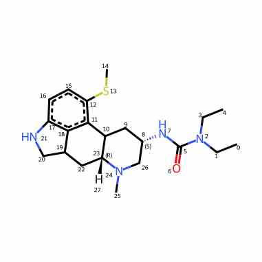 CCN(CC)C(=O)N[C@H]1CC2c3c(SC)ccc4c3C(CN4)C[C@H]2N(C)C1